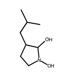 CC(C)CC1CCN(O)C1O